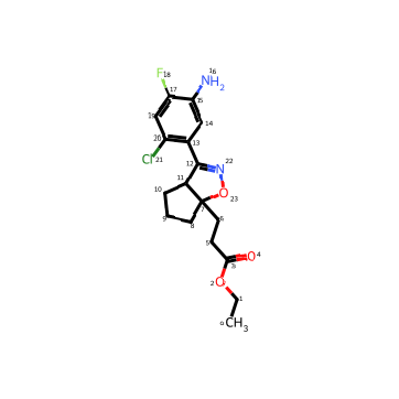 CCOC(=O)CCC12CCCC1C(c1cc(N)c(F)cc1Cl)=NO2